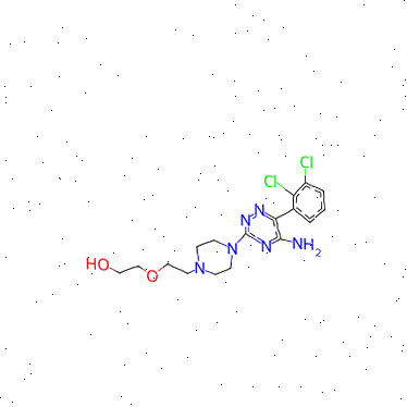 Nc1nc(N2CCN(CCOCCO)CC2)nnc1-c1cccc(Cl)c1Cl